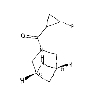 O=C(C1CC1F)N1C[C@H]2C[C@@H](C1)N2